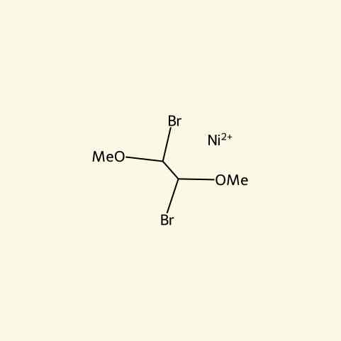 COC(Br)C(Br)OC.[Ni+2]